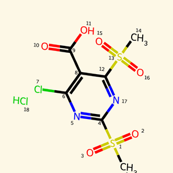 CS(=O)(=O)c1nc(Cl)c(C(=O)O)c(S(C)(=O)=O)n1.Cl